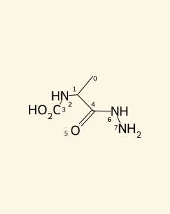 CC(NC(=O)O)C(=O)NN